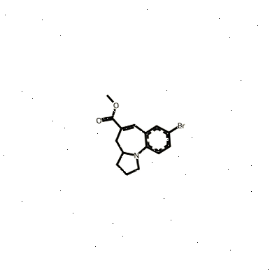 COC(=O)C1=Cc2cc(Br)ccc2N2CCCC2C1